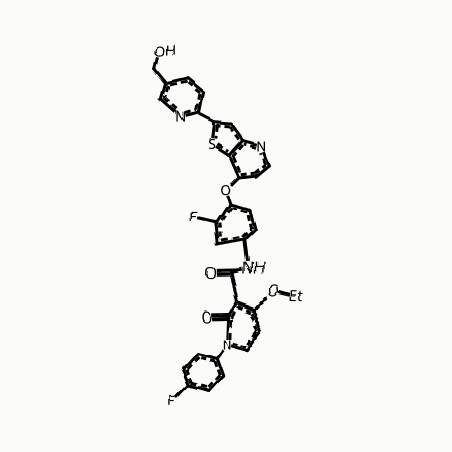 CCOc1ccn(-c2ccc(F)cc2)c(=O)c1C(=O)Nc1ccc(Oc2ccnc3cc(-c4ccc(CO)cn4)sc23)c(F)c1